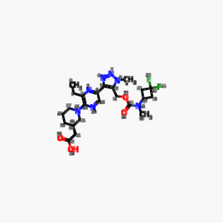 CCc1nc(-c2nnn(C)c2COC(=O)N(C)C2CC(F)(F)C2)cnc1N1CCC[C@H](CC(=O)O)C1